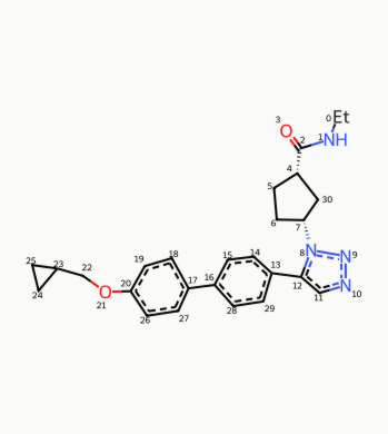 CCNC(=O)[C@H]1CC[C@@H](n2nncc2-c2ccc(-c3ccc(OCC4CC4)cc3)cc2)C1